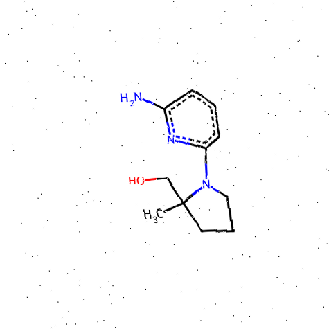 CC1(CO)CCCN1c1cccc(N)n1